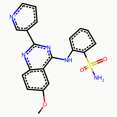 COc1ccc2nc(-c3cccnc3)nc(Nc3ccccc3S(N)(=O)=O)c2c1